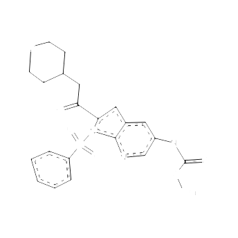 CC(C)(C)OC(=O)Nc1cnc2c(c1)cc(C(=O)CC1CCOCC1)n2S(=O)(=O)c1ccccc1